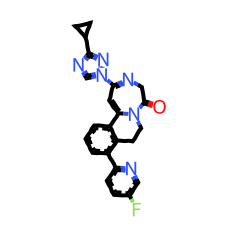 O=C1CN=C(n2cnc(C3CC3)n2)C=C2c3cccc(-c4ccc(F)cn4)c3CCN12